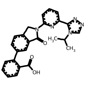 CC(C)n1cnnc1-c1cccc(N2Cc3ccc(-c4ccccc4C(=O)O)cc3C2=O)n1